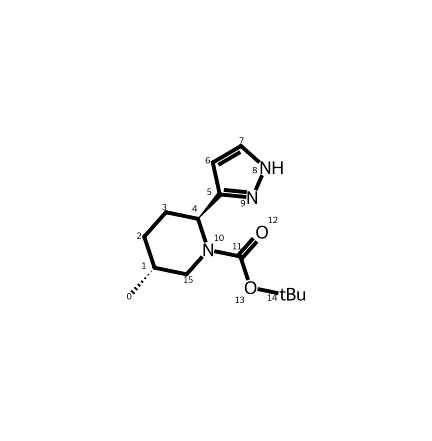 C[C@@H]1CC[C@@H](c2cc[nH]n2)N(C(=O)OC(C)(C)C)C1